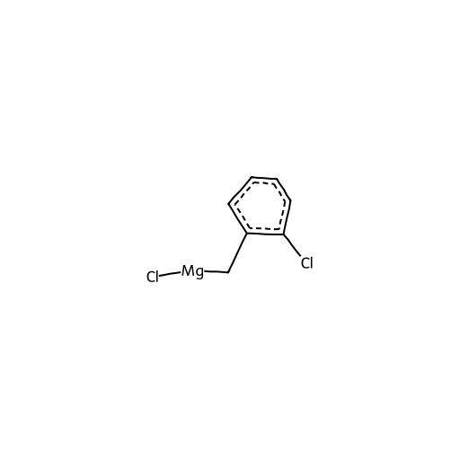 [Cl][Mg][CH2]c1ccccc1Cl